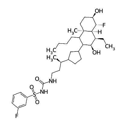 CCCCC1C(C2CCC([C@H](C)CCNC(=O)NS(=O)(=O)c3cccc(F)c3)C2)[C@H](O)[C@H](CC)[C@@H]2[C@@H](F)[C@H](O)CC[C@]12C